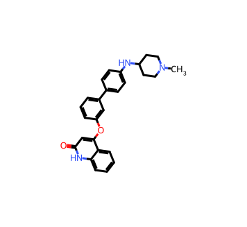 CN1CCC(Nc2ccc(-c3cccc(Oc4cc(=O)[nH]c5ccccc45)c3)cc2)CC1